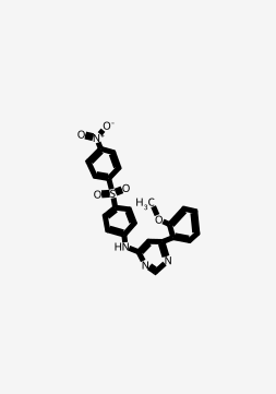 COc1ccccc1-c1cc(Nc2ccc(S(=O)(=O)c3ccc([N+](=O)[O-])cc3)cc2)ncn1